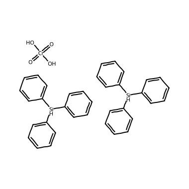 [O]=[Cr](=[O])([OH])[OH].c1ccc([SiH](c2ccccc2)c2ccccc2)cc1.c1ccc([SiH](c2ccccc2)c2ccccc2)cc1